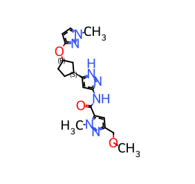 COCc1cc(C(=O)Nc2cc([C@H]3CC[C@@H](Oc4ccn(C)n4)C3)[nH]n2)n(C)n1